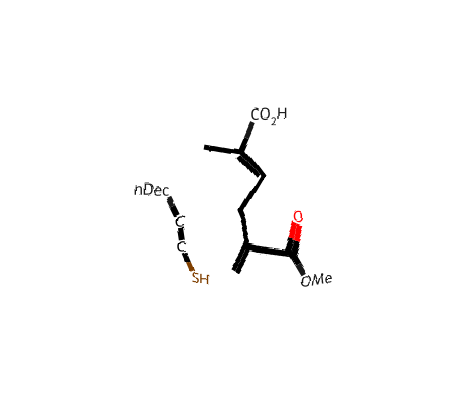 C=C(CC=C(C)C(=O)O)C(=O)OC.CCCCCCCCCCCCS